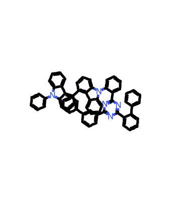 c1ccc(-c2cccc(-c3nc(-c4ccccc4-c4ccccc4)nc(-c4ccccc4-n4c5ccccc5c5c(-c6cccc7c6c6ccccc6n7-c6ccccc6)cccc54)n3)c2)cc1